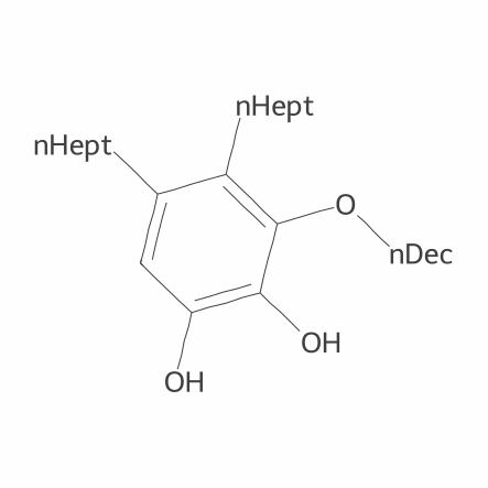 CCCCCCCCCCOc1c(O)c(O)cc(CCCCCCC)c1CCCCCCC